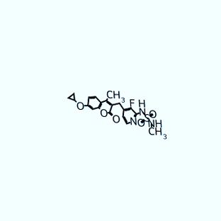 CNS(=O)(=O)Nc1nccc(Cc2c(C)c3ccc(OC4CC4)cc3oc2=O)c1F